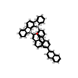 c1ccc2cc(-c3ccc(-c4ccc(-n5c6ccccc6c6ccc7c8ccccc8n(-c8ccc9ccccc9c8)c7c65)cc4)cc3)ccc2c1